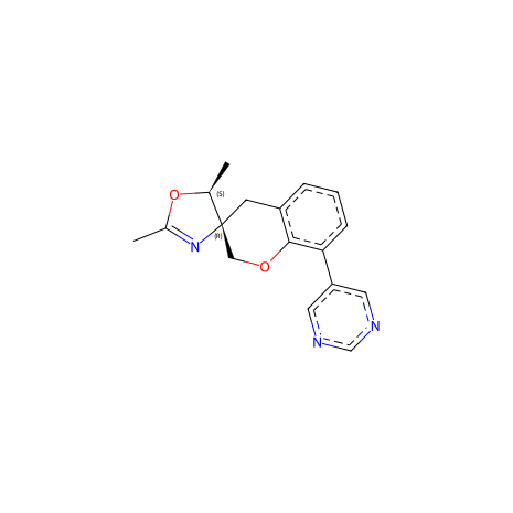 CC1=N[C@]2(COc3c(cccc3-c3cncnc3)C2)[C@H](C)O1